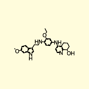 CCOc1cc(Nc2ccnc3c2CCCC3O)ccc1NCCc1c[nH]c2cc(OC)ccc12